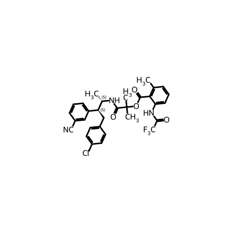 Cc1cccc(NC(=O)C(F)(F)F)c1C(=O)OC(C)(C)C(=O)N[C@@H](C)[C@@H](Cc1ccc(Cl)cc1)c1cccc(C#N)c1